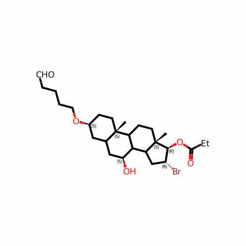 CCC(=O)O[C@H]1[C@H](Br)CC2C3C(CC[C@@]21C)[C@@]1(C)CC[C@H](OCCCCC=O)CC1C[C@@H]3O